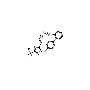 CCC=Cc1nc(C(C)(F)F)nn1Cc1ccc(-c2ccccc2C(=O)O)cc1